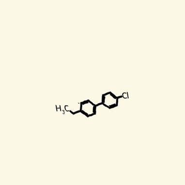 CCc1[c]cc(-c2ccc(Cl)cc2)cc1